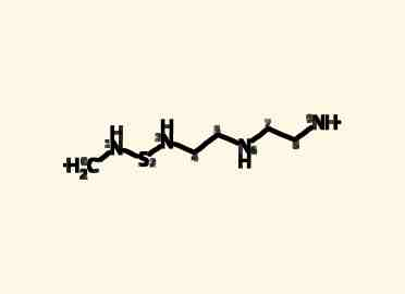 [CH2]NSNCCNCC[NH]